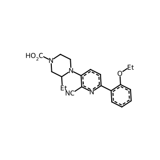 CCOc1ccccc1-c1ccc(N2CCN(C(=O)O)CC2CC)c(C#N)n1